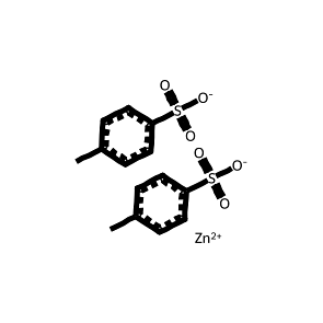 Cc1ccc(S(=O)(=O)[O-])cc1.Cc1ccc(S(=O)(=O)[O-])cc1.[Zn+2]